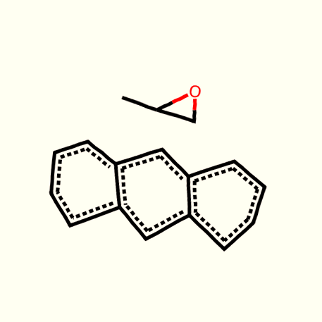 CC1CO1.c1ccc2cc3ccccc3cc2c1